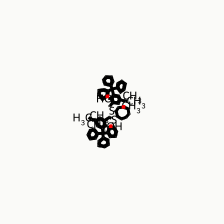 CC(C)(C)c1cc(CS[C@H]2CCCCCC[C@@H]2SCc2cc(C(C)(C)C)cc(C(c3ccccc3)(c3ccccc3)c3ccccc3)c2O)c(O)c(C(c2ccccc2)(c2ccccc2)c2ccccc2)c1